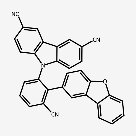 N#Cc1ccc2c(c1)c1cc(C#N)ccc1n2-c1cccc(C#N)c1-c1ccc2oc3ccccc3c2c1